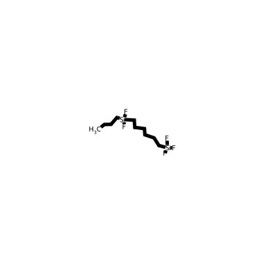 CCCC[Si](F)(F)CCCCCC[Si](F)(F)F